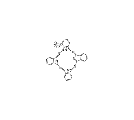 [CH3][Cu]([CH3])([CH3])([CH3])([CH3])([CH3])([CH3])([CH3])[c]1cccc2c3nc4nc(nc5[nH]c(nc6nc(nc([nH]3)c12)-c1ccccc1-6)c1ccccc51)-c1ccccc1-4